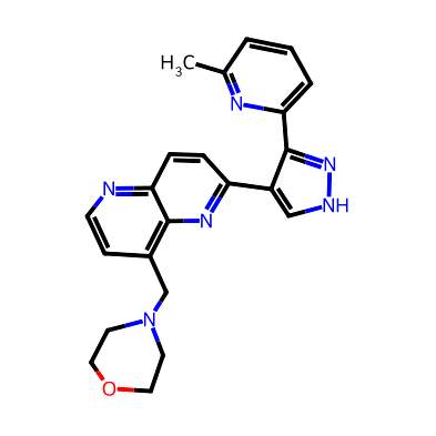 Cc1cccc(-c2n[nH]cc2-c2ccc3nccc(CN4CCOCC4)c3n2)n1